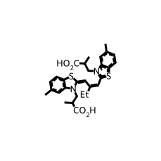 CCC(=Cc1sc2ccc(C)cc2[n+]1CC(C)C(=O)O)C=C1Sc2ccc(C)cc2N1CC(C)C(=O)O